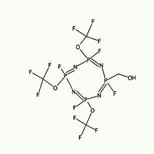 OCP1(F)=NP(F)(OC(F)(F)F)=NP(F)(OC(F)(F)F)=NP(F)(OC(F)(F)F)=N1